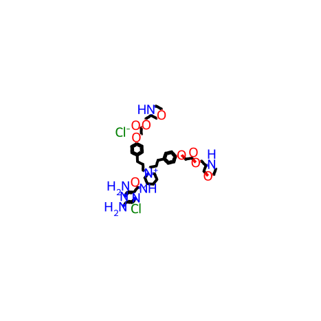 Nc1nc(N)c(C(=O)N[C@H]2CCC[N+](CCCc3ccc(OCC(=O)OCC4COCCN4)cc3)(CCCc3ccc(OCC(=O)OCC4COCCN4)cc3)C2)nc1Cl.[Cl-]